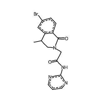 CC1CN(CC(=O)Nc2ncccn2)C(=O)c2ccc(Br)cc21